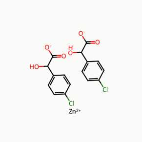 O=C([O-])C(O)c1ccc(Cl)cc1.O=C([O-])C(O)c1ccc(Cl)cc1.[Zn+2]